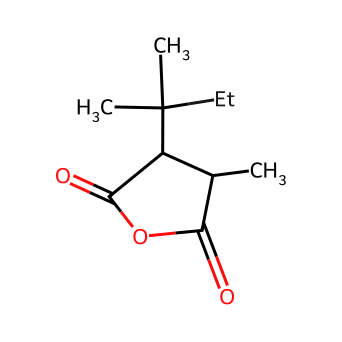 CCC(C)(C)C1C(=O)OC(=O)C1C